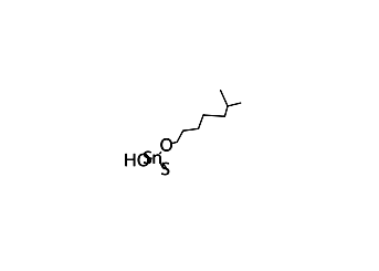 CC(C)CCCCC[O][Sn]([OH])=[S]